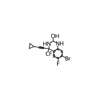 OC1Nc2cc(Br)c(F)cc2C(C#CC2CC2)(C(F)(F)F)N1